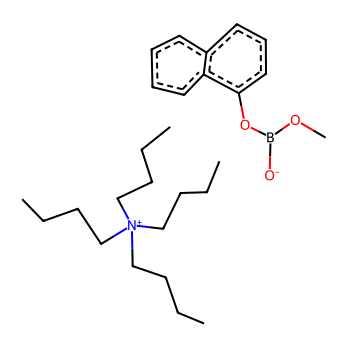 CCCC[N+](CCCC)(CCCC)CCCC.COB([O-])Oc1cccc2ccccc12